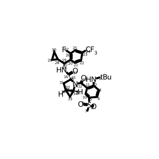 CC(C)(C)Nc1ccc(S(C)(=O)=O)cc1C(=O)N1[C@@H](C(=O)N[C@@H](c2ccc(C(F)(F)F)cc2F)C2CC2)C[C@H]2C[C@H]21